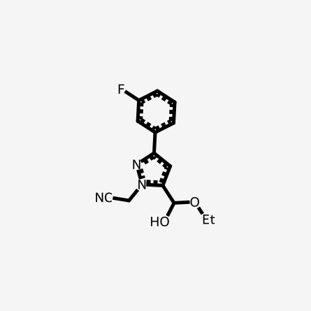 CCOC(O)c1cc(-c2cccc(F)c2)nn1CC#N